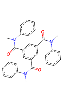 CN(C(=O)c1cc(C(=O)N(C)c2ccccc2)cc(C(=O)N(C)c2ccccc2)c1)c1ccccc1